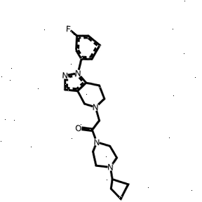 O=C(CN1CCc2c(cnn2-c2cccc(F)c2)C1)N1CCN(C2CCC2)CC1